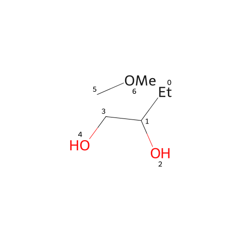 CCC(O)CO.COC